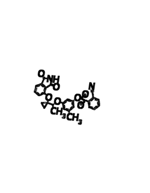 Cc1cc(OC(C)C2(Oc3cccc4c3C(=O)NC4=O)CC2)cc(OS(=O)(=O)c2ccccc2C#N)c1